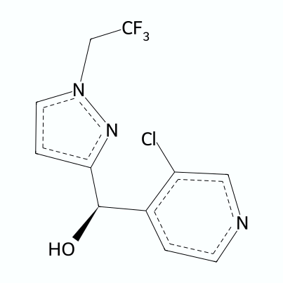 O[C@@H](c1ccn(CC(F)(F)F)n1)c1ccncc1Cl